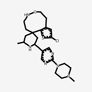 CC1CC2(CCNOCCc3cc(Cl)sc32)CC(c2cnc(N3CCN(C)CC3)nc2)N1